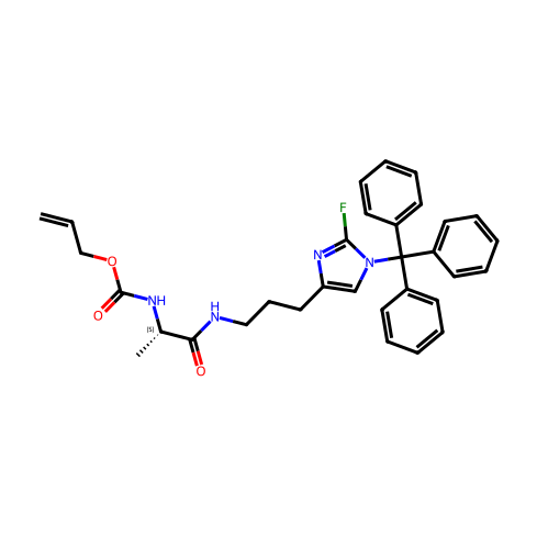 C=CCOC(=O)N[C@@H](C)C(=O)NCCCc1cn(C(c2ccccc2)(c2ccccc2)c2ccccc2)c(F)n1